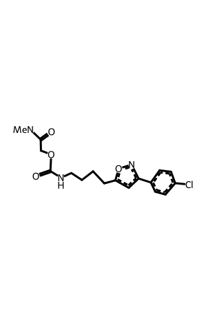 CNC(=O)COC(=O)NCCCCc1cc(-c2ccc(Cl)cc2)no1